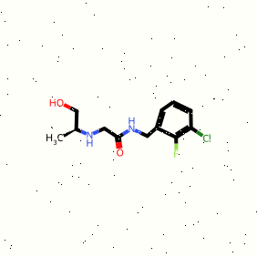 C[C@@H](CO)NCC(=O)NCc1cccc(Cl)c1F